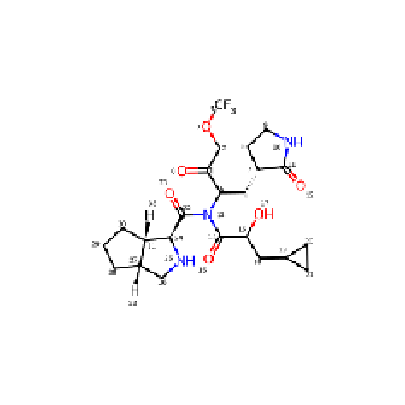 O=C(COC(F)(F)F)C(C[C@@H]1CCNC1=O)N(C(=O)C(O)CC1CC1)C(=O)[C@H]1NC[C@@H]2CCC[C@@H]21